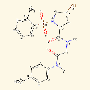 CN(CC(=O)N(C)c1ccc(C(=O)O)cc1)C(=O)C1CC(S)CN1S(=O)(=O)c1ccccc1C(F)(F)F